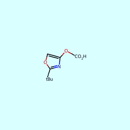 CC(C)(C)c1nc(OC(=O)O)co1